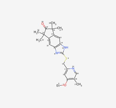 CCOc1cc(CSc2nc3cc4c(cc3[nH]2)C(C)(C)C(=O)C4(C)C)ncc1C